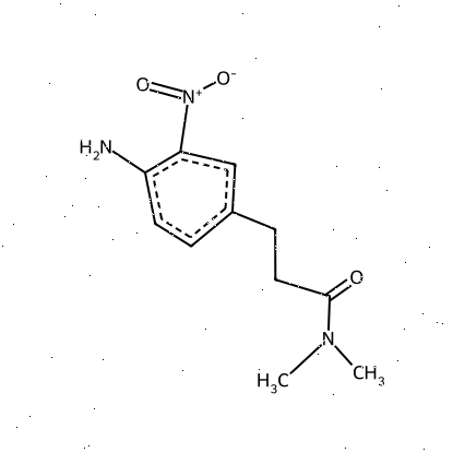 CN(C)C(=O)CCc1ccc(N)c([N+](=O)[O-])c1